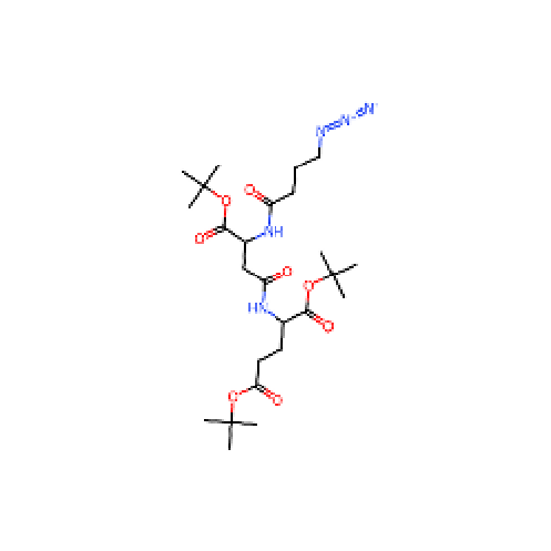 CC(C)(C)OC(=O)CCC(NC(=O)CC(NC(=O)CCCN=[N+]=[N-])C(=O)OC(C)(C)C)C(=O)OC(C)(C)C